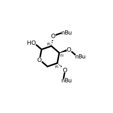 CCCCO[C@H]1[C@H](OCCCC)COC(O)[C@@H]1OCCCC